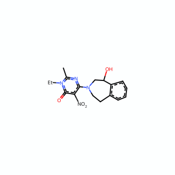 CCn1c(C)nc(N2CCc3ccccc3C(O)C2)c([N+](=O)[O-])c1=O